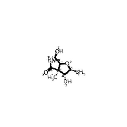 B[C@@H]1OC(CO)[C@](C)(C(=O)NC)[C@H]1O